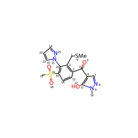 CSCc1c(C(=O)c2cnn(C)c2O)ccc(S(C)(=O)=O)c1-n1cccn1